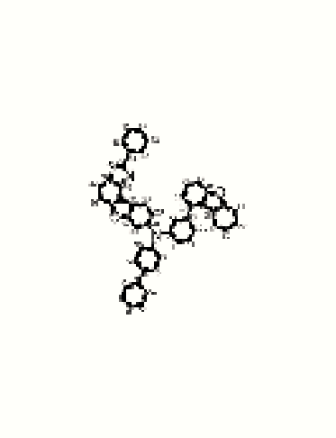 c1ccc(-c2ccc(N(c3cccc(-c4cccc5oc6ccccc6c45)c3)c3ccc4c(c3)oc3ccc5sc(-c6ccccc6)nc5c34)cc2)cc1